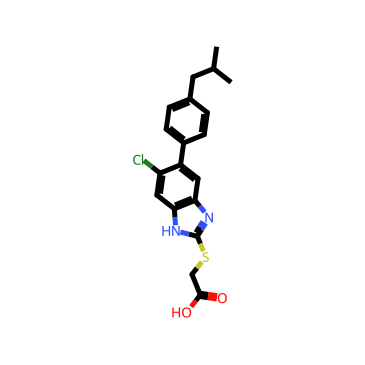 CC(C)Cc1ccc(-c2cc3nc(SCC(=O)O)[nH]c3cc2Cl)cc1